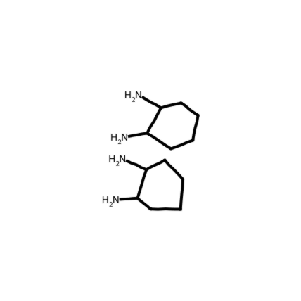 NC1CCCCC1N.NC1CCCCC1N